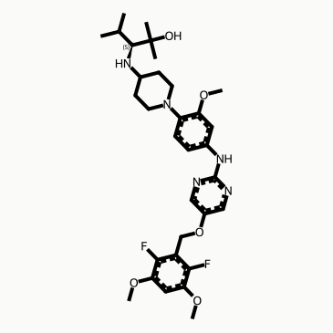 COc1cc(Nc2ncc(OCc3c(F)c(OC)cc(OC)c3F)cn2)ccc1N1CCC(N[C@@H](C(C)C)C(C)(C)O)CC1